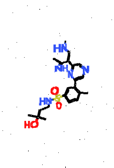 CN/C=C(\C(C)=N)c1cncc(-c2cc(S(=O)(=O)NCCC(C)(C)O)ccc2C)n1